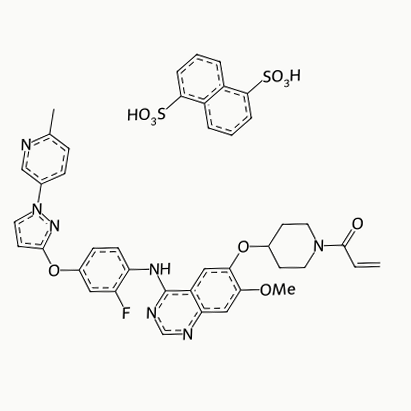 C=CC(=O)N1CCC(Oc2cc3c(Nc4ccc(Oc5ccn(-c6ccc(C)nc6)n5)cc4F)ncnc3cc2OC)CC1.O=S(=O)(O)c1cccc2c(S(=O)(=O)O)cccc12